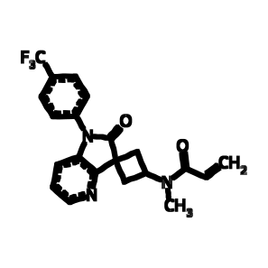 C=CC(=O)N(C)C1CC2(C1)C(=O)N(c1ccc(C(F)(F)F)cc1)c1cccnc12